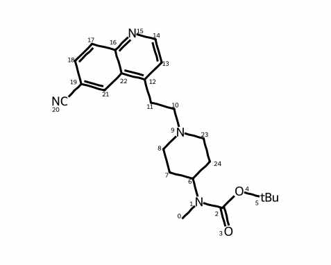 CN(C(=O)OC(C)(C)C)C1CCN(CCc2ccnc3ccc(C#N)cc23)CC1